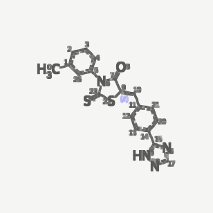 Cc1cccc(N2C(=O)/C(=C/c3ccc(-c4ncn[nH]4)cc3)SC2=S)c1